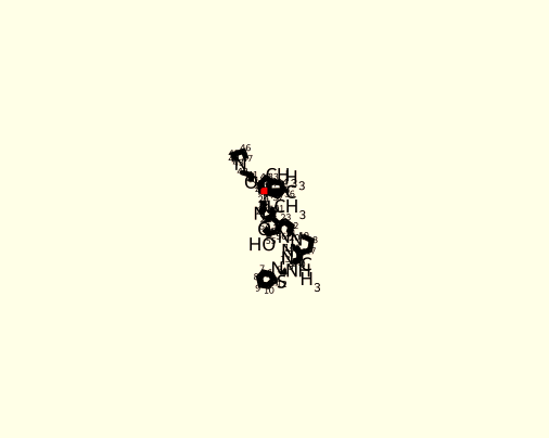 Cc1c(Nc2nc3ccccc3s2)nnc2c1CCCN2c1ccc(-c2cnn(C[C@]34C[C@]5(C)C[C@](C)(C3)C[C@@](OCCN3CCCC3)(C5)C4)c2C)c(C(=O)O)n1